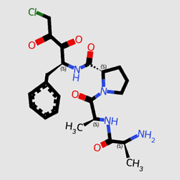 C[C@H](N)C(=O)N[C@@H](C)C(=O)N1CCC[C@H]1C(=O)N[C@@H](Cc1ccccc1)C(=O)C(=O)CCl